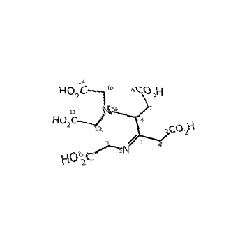 O=C(O)CN=C(CC(=O)O)C(CC(=O)O)N(CC(=O)O)CC(=O)O